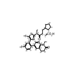 CN(C(=O)[C@@H](CC(=O)O)CC1CCCC1)c1nc(-c2cc(F)ccc2-c2cnc3c(c2)CCC(=O)N3C)c(F)s1